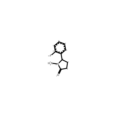 NN1C(=O)CCC1c1ccccc1F